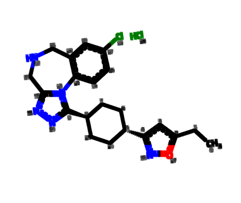 CCc1cc([C@H]2CC[C@H](c3nnc4n3-c3ccc(Cl)cc3CNC4)CC2)no1.Cl